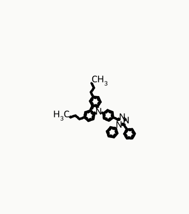 CCCCc1ccc2c(c1)c1cc(CCCC)ccc1n2-c1ccc(-c2nnc(-c3ccccc3)n2-c2ccccc2)cc1